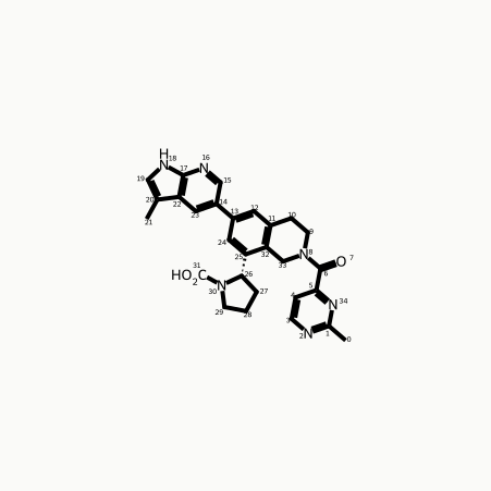 Cc1nccc(C(=O)N2CCc3cc(-c4cnc5[nH]cc(C)c5c4)cc([C@@H]4CCCN4C(=O)O)c3C2)n1